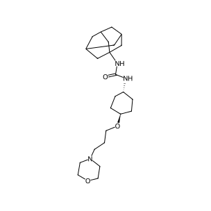 O=C(NC12CC3CC(CC(C3)C1)C2)N[C@H]1CC[C@H](OCCCN2CCOCC2)CC1